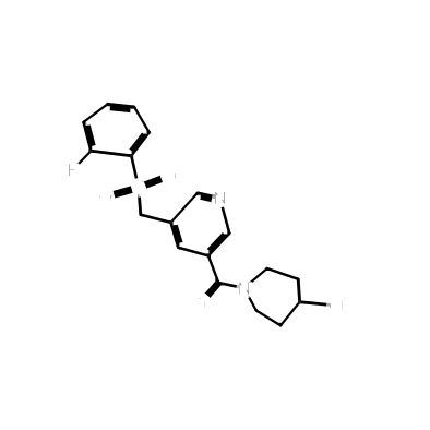 CC1CCN(C(=O)c2cncc(CS(=O)(=O)c3ccccc3F)c2)CC1